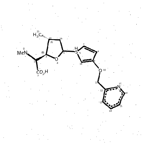 CNC(C(=O)O)[C@@H]1OC([SH]2C=CC(OCc3ccccn3)=C2)C[C@H]1C